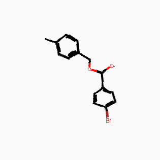 Cc1ccc(COC([O])c2ccc(Br)cc2)cc1